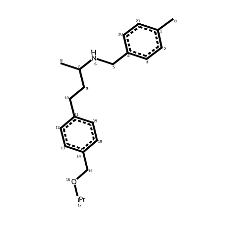 Cc1ccc(CNC(C)CCc2ccc(COC(C)C)cc2)cc1